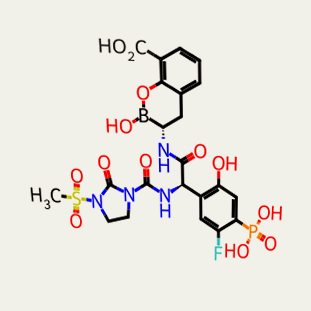 CS(=O)(=O)N1CCN(C(=O)N[C@@H](C(=O)N[C@H]2Cc3cccc(C(=O)O)c3OB2O)c2cc(F)c(P(=O)(O)O)cc2O)C1=O